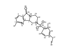 Cc1ccc2c(n1)C1CN(S(=O)(=O)c3ccc(CF)cc3C)CCN1C2=O